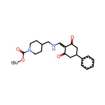 CC(C)(C)OC(=O)N1CCC(CNC=C2C(=O)CC(c3ccccc3)CC2=O)CC1